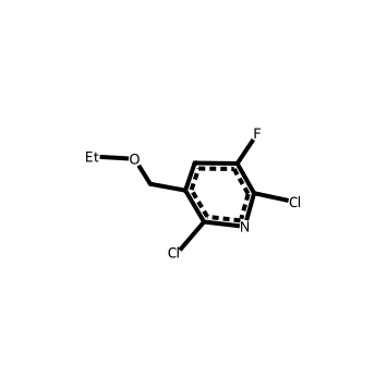 CCOCc1cc(F)c(Cl)nc1Cl